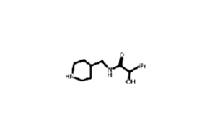 CC(C)C(O)C(=O)NCC1CCNCC1